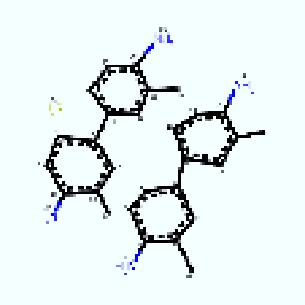 Cc1cc(-c2ccc(N)c(C)c2)ccc1N.Cc1cc(-c2ccc(N)c(C)c2)ccc1N.S